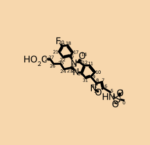 CS(=O)(=O)NCc1cc(-c2ccc3c(=O)n(-c4ccc(F)cc4)c(CCCCC(=O)O)nc3c2)no1